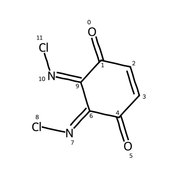 O=c1ccc(=O)c(=NCl)c1=NCl